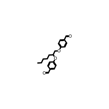 CCCCCC(COc1ccc(C=O)cc1)Oc1ccc(C=O)cc1